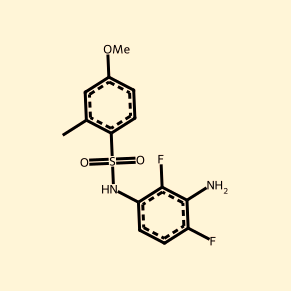 COc1ccc(S(=O)(=O)Nc2ccc(F)c(N)c2F)c(C)c1